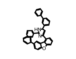 C1=C(c2cccc3oc4ccc(-c5ccccc5)cc4c23)N=C(c2ccccc2)NC1c1cccc(-c2ccccc2)c1